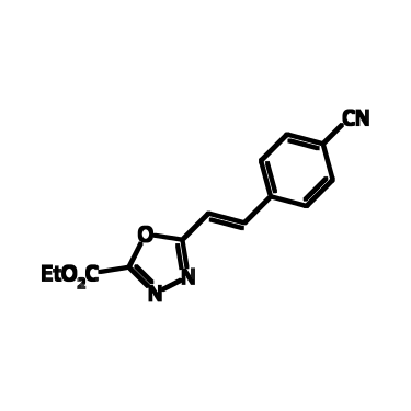 CCOC(=O)c1nnc(C=Cc2ccc(C#N)cc2)o1